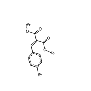 CC(C)OC(=O)C(=Cc1ccc(C(C)C)cc1)C(=O)OC(C)C